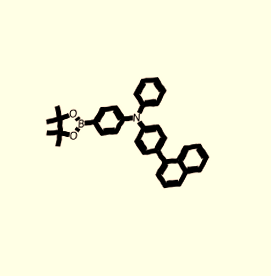 CC1(C)OB(c2ccc(N(c3ccccc3)c3ccc(-c4cccc5ccccc45)cc3)cc2)OC1(C)C